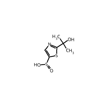 CC(C)(O)c1ncc(S(=O)O)s1